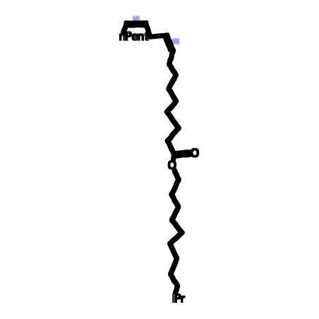 CCCCC/C=C\C/C=C\CCCCCCCC(=O)OCCCCCCCCCC(C)C